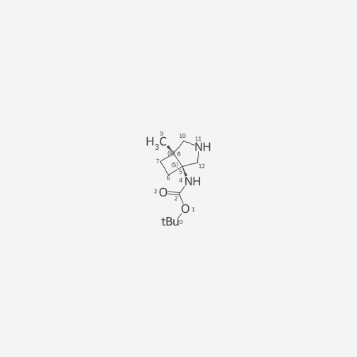 CC(C)(C)OC(=O)N[C@@]12CC[C@]1(C)CNC2